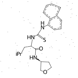 CC(C)CC(NC(=S)Nc1cccc2ccccc12)C(=O)N[C@H]1CCOC1